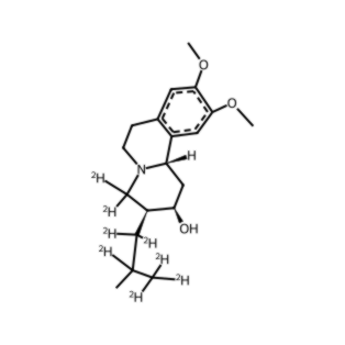 [2H]C1([2H])[C@H](C([2H])([2H])C([2H])(C)C([2H])([2H])[2H])[C@H](O)C[C@H]2c3cc(OC)c(OC)cc3CCN21